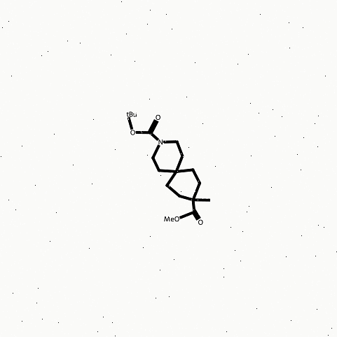 COC(=O)C1(C)CCC2(CCN(C(=O)OC(C)(C)C)CC2)CC1